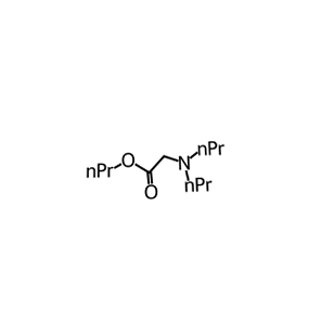 CCCOC(=O)CN(CCC)CCC